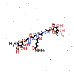 CNC(=O)CCCCC(=O)N(CCCNCCO[C@@H]1O[C@@H](C)[C@@H](O)[C@@H](O)[C@@H]1O)CCC(=O)NCCO[C@@H]1O[C@@H](C)[C@@H](O)[C@@H](O)[C@@H]1O